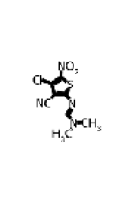 CN(C)C=Nc1sc([N+](=O)[O-])c(Cl)c1C#N